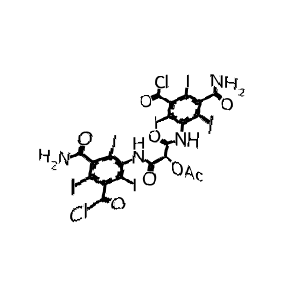 CC(=O)OC(C(=O)Nc1c(I)c(C(N)=O)c(I)c(C(=O)Cl)c1I)C(=O)Nc1c(I)c(C(N)=O)c(I)c(C(=O)Cl)c1I